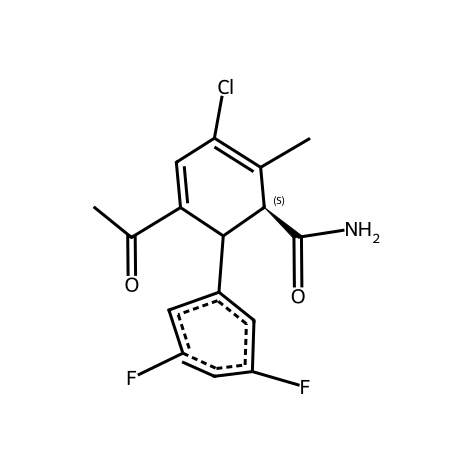 CC(=O)C1=CC(Cl)=C(C)[C@@H](C(N)=O)C1c1cc(F)cc(F)c1